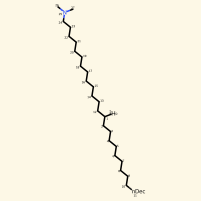 [2H]C(CCCCCCCCCCCCCCCCCCC)CCCCCCCCCCCCCN(C)C